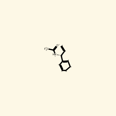 C=C[C@@H](NC(=O)C(F)(F)F)C1=CCCC=C1